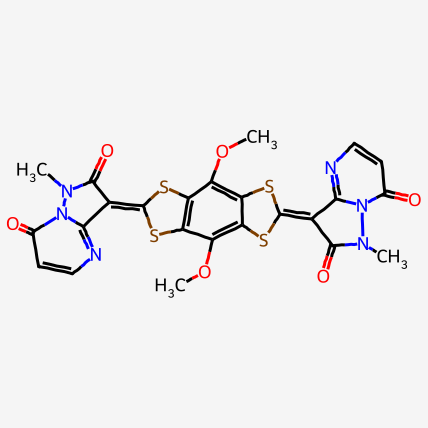 COc1c2c(c(OC)c3c1SC(=c1c(=O)n(C)n4c(=O)ccnc14)S3)SC(=c1c(=O)n(C)n3c(=O)ccnc13)S2